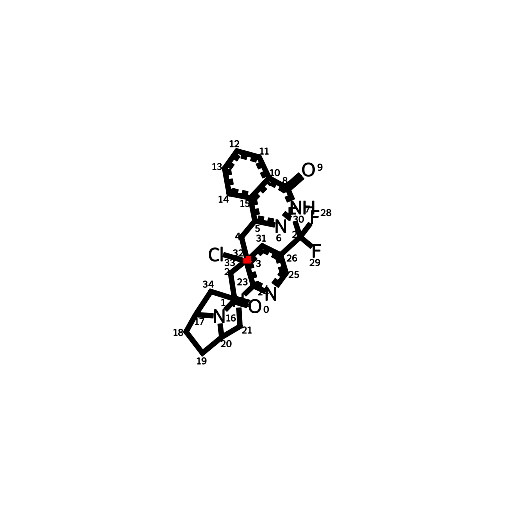 O=C(CCCc1n[nH]c(=O)c2ccccc12)N1C2CCC1CN(c1ncc(C(F)(F)F)cc1Cl)C2